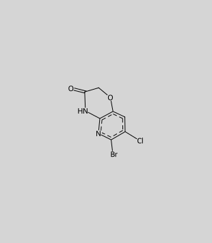 O=C1COc2cc(Cl)c(Br)nc2N1